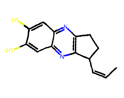 C/C=C\C1CCc2nc3cc(S)c(S)cc3nc21